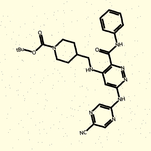 CC(C)(C)OC(=O)N1CCC(CNc2cc(Nc3cnc(C#N)cn3)nnc2C(=O)Nc2ccccc2)CC1